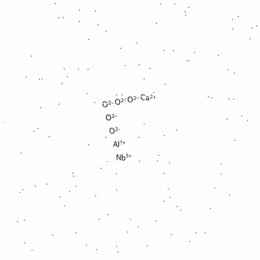 [Al+3].[Ca+2].[Nb+5].[O-2].[O-2].[O-2].[O-2].[O-2]